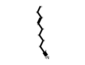 CC/C=C/CCCCC#N